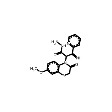 COc1ccc2c(c1)SCC(=O)N2C(C(=N)c1ccccn1)C(=O)NN